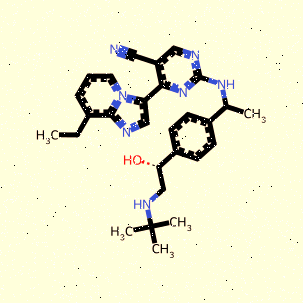 CCc1cccn2c(-c3nc(NC(C)c4ccc([C@@H](O)CNC(C)(C)C)cc4)ncc3C#N)cnc12